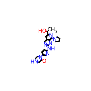 C[C@@H](O)c1cc2cnc(Nc3ccc(N4CCNCC4=O)cn3)nc2c(N2CCCC2)n1